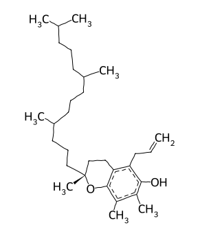 C=CCc1c(O)c(C)c(C)c2c1CC[C@@](C)(CCCC(C)CCCC(C)CCCC(C)C)O2